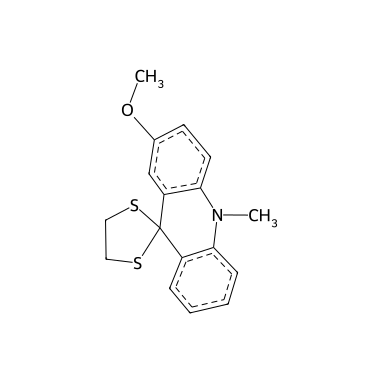 COc1ccc2c(c1)C1(SCCS1)c1ccccc1N2C